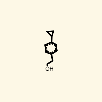 OCCc1ccc(C2CC2)cc1